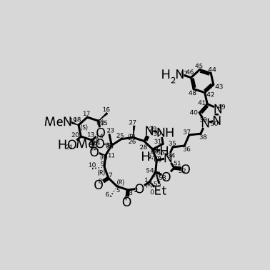 CC[C@H]1OC(=O)[C@H](C)C(=O)[C@H](C)[C@@H](O[C@@H]2O[C@H](C)C[C@H](NC)C2O)[C@](C)(OC)C[C@@H](C)C2=NNC[C@@H]2[C@H]2N(CCCCn3cc(-c4cccc(N)c4)nn3)C(=O)O[C@]12C